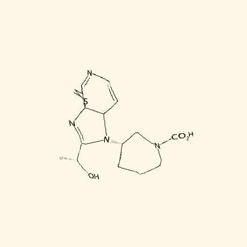 C[C@@H](O)C1=NC23SC=CC2=NC=CC3N1[C@H]1CCCN(C(=O)O)C1